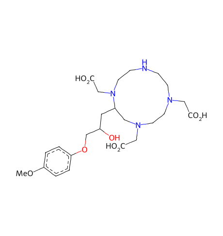 COc1ccc(OCC(O)CC2CN(CC(=O)O)CCN(CC(=O)O)CCNCCN2CC(=O)O)cc1